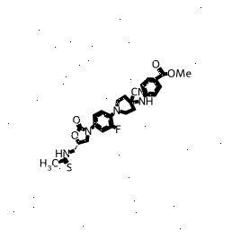 COC(=O)c1ccc(NC2(C#N)CCN(c3ccc(N4C[C@H](CNC(C)=S)OC4=O)cc3F)CC2)cc1